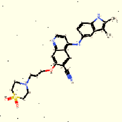 Cc1[nH]c2ccc(Nc3ccnc4cc(OCCCN5CCS(=O)(=O)CC5)c(C#N)cc34)cc2c1C